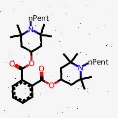 CCCCCN1C(C)(C)CC(OC(=O)c2ccccc2C(=O)OC2CC(C)(C)N(CCCCC)C(C)(C)C2)CC1(C)C